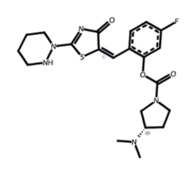 CN(C)[C@H]1CCN(C(=O)Oc2cc(F)ccc2/C=C2/SC(N3CCCCN3)=NC2=O)C1